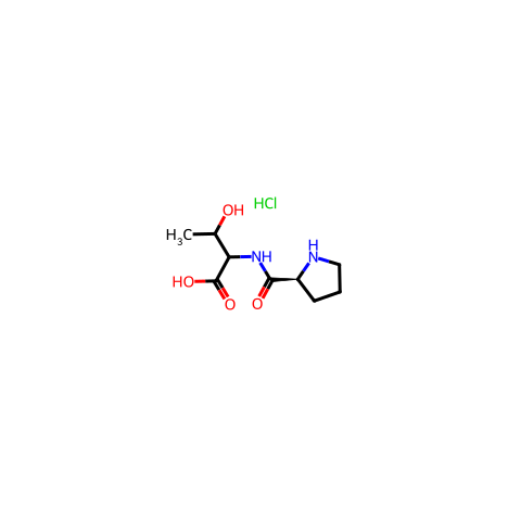 CC(O)C(NC(=O)[C@@H]1CCCN1)C(=O)O.Cl